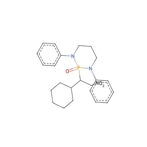 O=[N+]([O-])CC(C1CCCCC1)P1(=O)N(c2ccccc2)CCCN1c1ccccc1